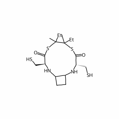 CCC1(C)SC(=O)[C@H](CS)NC2CCC2N[C@@H](CS)C(=O)SC1(C)CC